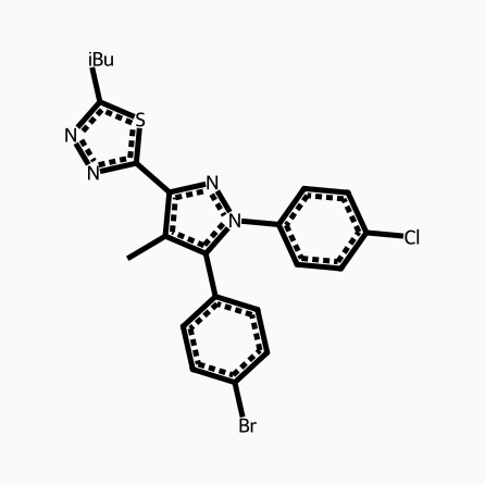 CCC(C)c1nnc(-c2nn(-c3ccc(Cl)cc3)c(-c3ccc(Br)cc3)c2C)s1